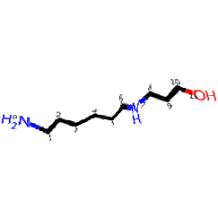 NCCCCCCNCCCO